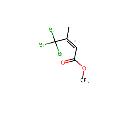 C/C(=C/C(=O)OC(F)(F)F)C(Br)(Br)Br